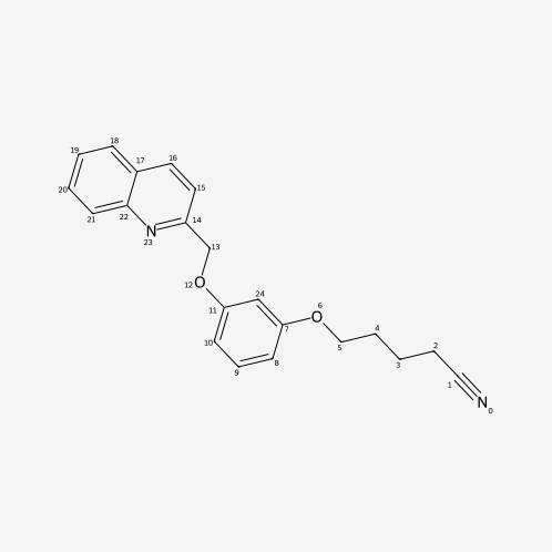 N#CCCCCOc1cccc(OCc2ccc3ccccc3n2)c1